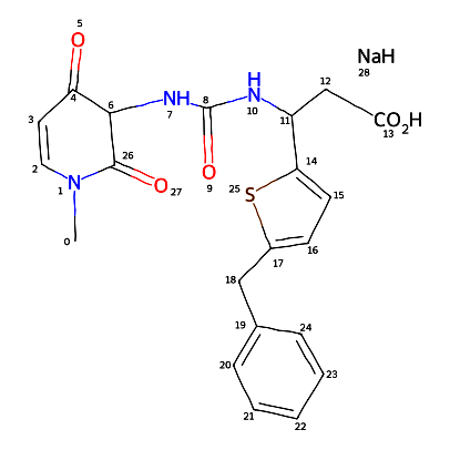 CN1C=CC(=O)C(NC(=O)NC(CC(=O)O)c2ccc(Cc3ccccc3)s2)C1=O.[NaH]